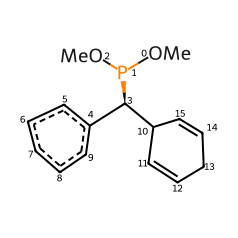 COP(OC)[C@H](c1ccccc1)C1C=CCC=C1